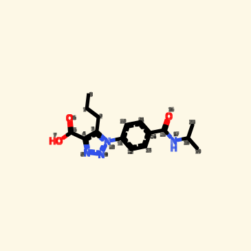 CCCc1c(C(=O)O)nnn1-c1ccc(C(=O)NC(C)C)cc1